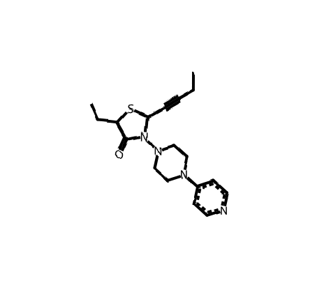 CCC#CC1SC(CC)C(=O)N1N1CCN(c2ccncc2)CC1